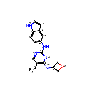 FC(F)(F)c1cnc(Nc2ccc3[nH]ccc3c2)nc1NC1COC1